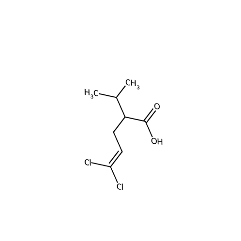 CC(C)C(CC=C(Cl)Cl)C(=O)O